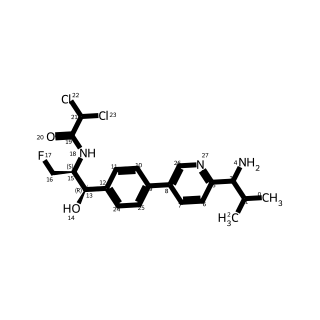 CC(C)C(N)c1ccc(-c2ccc([C@@H](O)[C@@H](CF)NC(=O)C(Cl)Cl)cc2)cn1